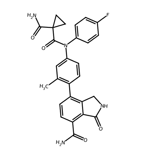 Cc1cc(N(C(=O)C2(C(N)=O)CC2)c2ccc(F)cc2)ccc1-c1ccc(C(N)=O)c2c1CNC2=O